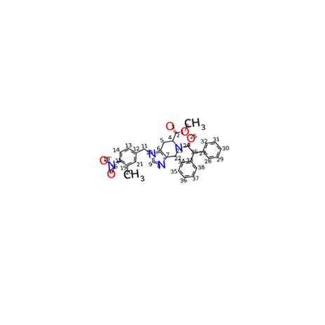 COC(=O)C1Cc2c(ncn2Cc2ccc([N+](=O)[O-])c(C)c2)CN1C(=O)C(c1ccccc1)c1ccccc1